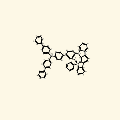 O=P1(c2ccccc2)c2ccccc2-c2ccc3c4ccccc4n(-c4ccc(-c5ccc(N(c6ccc(-c7ccccc7)cc6)c6ccc(-c7ccccc7)cc6)cc5)cc4)c3c21